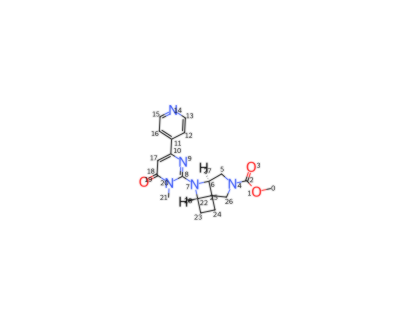 COC(=O)N1C[C@@H]2N(c3nc(-c4ccncc4)cc(=O)n3C)[C@H]3CCC32C1